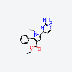 CCOC(=O)c1cc(-c2ccnc(N)n2)n(CC)c1-c1ccccc1